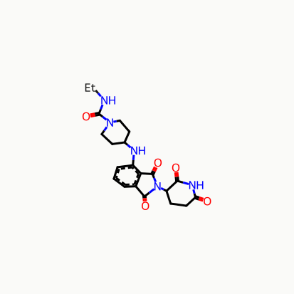 CCNC(=O)N1CCC(Nc2cccc3c2C(=O)N(C2CCC(=O)NC2=O)C3=O)CC1